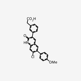 COc1ccc(-c2cc3cc(-c4cccc(CC(=O)O)c4)c(=O)[nH]c3cc2Cl)cc1